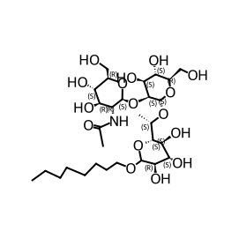 CCCCCCCCOC1O[C@H]([C@H](C)O[C@H]2O[C@H](CO)[C@@H](O)[C@H](O)[C@@H]2O[C@@H]2O[C@H](CO)[C@@H](O)[C@H](O)[C@H]2NC(C)=O)[C@@H](O)[C@H](O)[C@H]1O